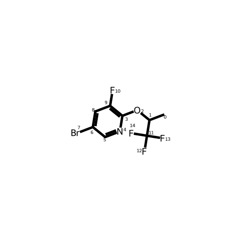 CC(Oc1ncc(Br)cc1F)C(F)(F)F